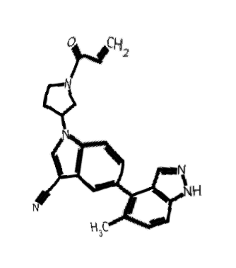 C=CC(=O)N1CCC(n2cc(C#N)c3cc(-c4c(C)ccc5[nH]ncc45)ccc32)C1